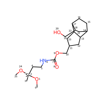 CO[Si](C)(CCNC(=O)OCC1CC2C3CCC(C(CO)C3)C2C1)OC